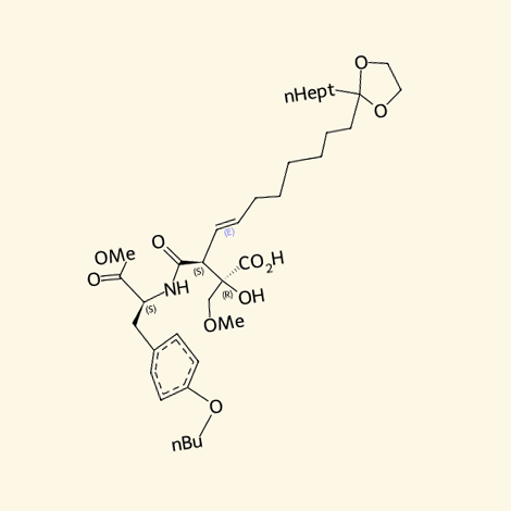 CCCCCCCC1(CCCCCC/C=C/[C@H](C(=O)N[C@@H](Cc2ccc(OCCCC)cc2)C(=O)OC)[C@@](O)(COC)C(=O)O)OCCO1